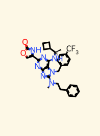 C[C@@H](Nc1nc(-c2coc(=O)[nH]2)nc2nc(N(C)CCc3ccccc3)n(Cc3ccc(C(F)(F)F)cc3)c12)C1CCC1